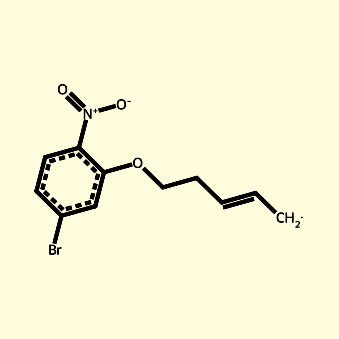 [CH2]C=CCCOc1cc(Br)ccc1[N+](=O)[O-]